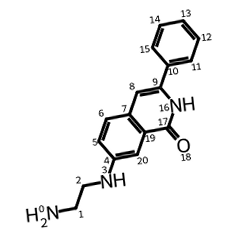 NCCNc1ccc2cc(-c3ccccc3)[nH]c(=O)c2c1